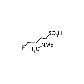 CNC.O=S(=O)(O)CCCCF